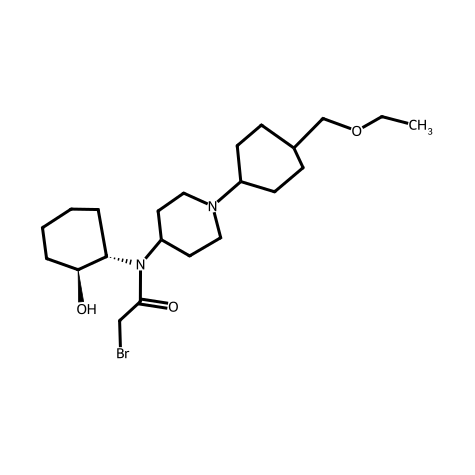 CCOCC1CCC(N2CCC(N(C(=O)CBr)[C@H]3CCCC[C@@H]3O)CC2)CC1